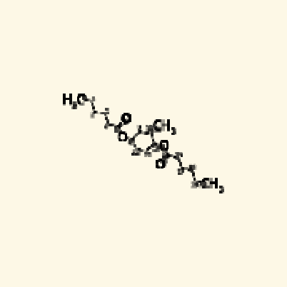 CCCCCC(=O)OC1C=C(C)C(OC(=O)CCCCC)CC1